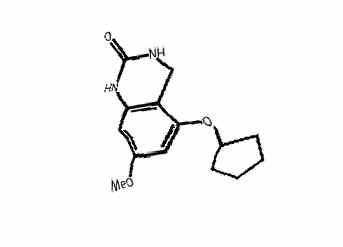 COc1cc2c(c(OC3CCCC3)c1)CNC(=O)N2